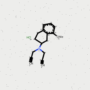 C#CCN(CC#C)C1CCc2cccc(OC)c2C1.Cl